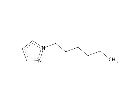 CCCCCCn1cc[c]n1